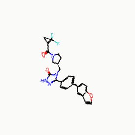 O=C(C1CC1(F)F)N1CC[C@@H](Cn2c(-c3ccc(-c4ccc5occc5c4)cc3)n[nH]c2=O)C1